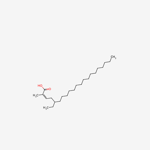 CCCCCCCCCCCCCCCCC(CC)CC=C(C)C(=O)O